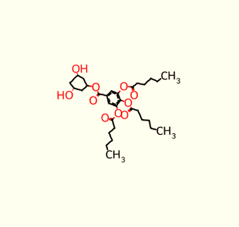 CCCCCC(=O)Oc1cc(C(=O)OC2C[C@@H](O)C[C@@H](O)C2)cc(OC(=O)CCCCC)c1OC(=O)CCCCC